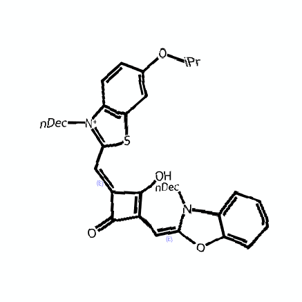 CCCCCCCCCCN1/C(=C\C2=C(O)C(=C\c3sc4cc(OC(C)C)ccc4[n+]3CCCCCCCCCC)/C2=O)Oc2ccccc21